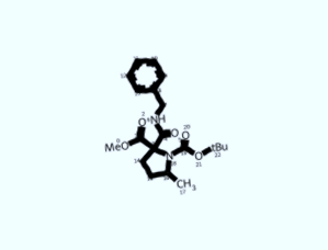 COC(=O)C1(C(=O)NCc2ccccc2)CCC(C)N1C(=O)OC(C)(C)C